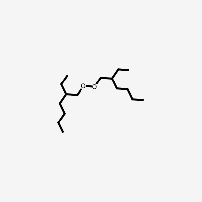 CCCCC(CC)COOCC(CC)CCCC